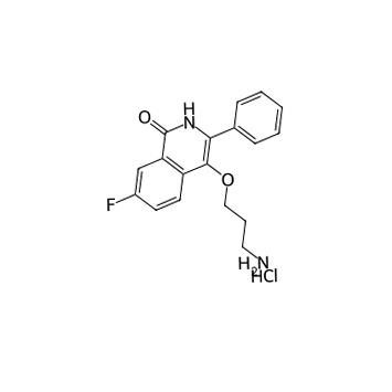 Cl.NCCCOc1c(-c2ccccc2)[nH]c(=O)c2cc(F)ccc12